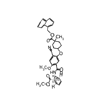 COC(=O)[C@@H]1[C@H](NC(=O)c2cc(OC3CCC(C)(C(=O)OCc4cccc5ccccc45)CC3)c(C#N)cc2OC)[C@H]2C=C[C@@H]1C2